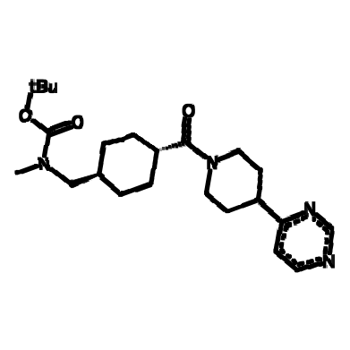 CN(C[C@H]1CC[C@H](C(=O)N2CCC(c3ccncn3)CC2)CC1)C(=O)OC(C)(C)C